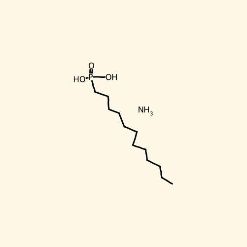 CCCCCCCCCCCCP(=O)(O)O.N